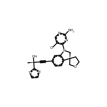 C[C@@](O)(C#Cc1ccc2c(c1)N(c1nc(N)ncc1Cl)C[C@]21CCOC1)c1nccs1